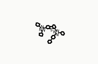 c1ccc(-c2ccc(-c3nc(-c4ccccc4)nc(-c4cccc5c4sc4cc(-c6nc(-c7ccccc7)nc(-c7ccccc7)n6)ccc45)n3)cc2)cc1